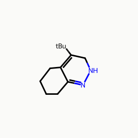 CC(C)(C)C1=C2CCCCC2=NNC1